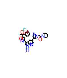 CC(O)(c1cc(-c2c[nH]c3ncc(-c4cnn(CC(=O)N5CCCCC5)c4)cc23)no1)c1ccccc1F